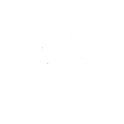 CC(C)N1C(=O)c2c(O)c(=O)c(-c3nnc(Cc4c(F)cc(F)cc4F)s3)cn2N2C[C@@H]3CC[C@@H](O3)[C@@H]12